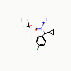 CC(C)(C)OC(=O)N(C#N)C(c1ccc(Br)cc1)C1CC1